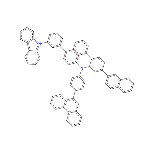 c1ccc(-c2ccc(-c3ccc4ccccc4c3)cc2N(c2ccc(-c3cccc(-n4c5ccccc5c5ccccc54)c3)cc2)c2ccc(-c3cc4ccccc4c4ccccc34)cc2)cc1